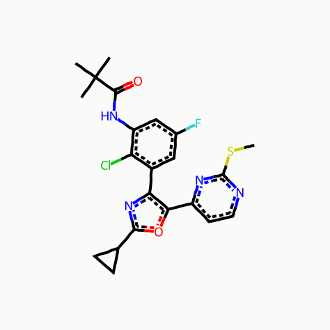 CSc1nccc(-c2oc(C3CC3)nc2-c2cc(F)cc(NC(=O)C(C)(C)C)c2Cl)n1